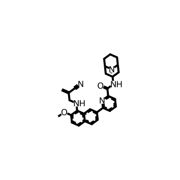 C=C(C#N)CNc1c(OC)ccc2ccc(-c3cccc(C(=O)NC4CC5CCCC(C4)N5C)n3)cc12